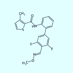 CON=Cc1c(F)cc(-c2ccccc2NC(=O)c2sccc2C)cc1F